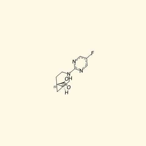 O=C(O)[C@@]12CCN(c3ncc(F)cn3)C[C@H]1C2